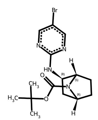 CC(C)(C)OC(=O)N1[C@@H]2CC[C@H]1[C@H](Nc1ncc(Br)cn1)C2